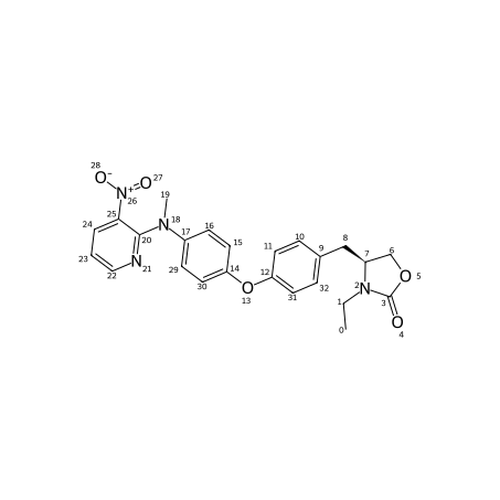 CCN1C(=O)OC[C@@H]1Cc1ccc(Oc2ccc(N(C)c3ncccc3[N+](=O)[O-])cc2)cc1